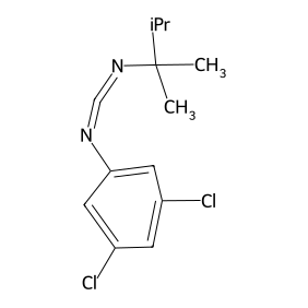 CC(C)C(C)(C)N=C=Nc1cc(Cl)cc(Cl)c1